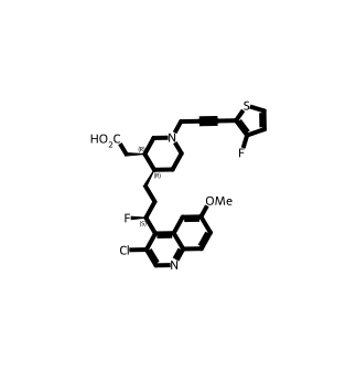 COc1ccc2ncc(Cl)c([C@@H](F)CC[C@@H]3CCN(CC#Cc4sccc4F)C[C@@H]3CC(=O)O)c2c1